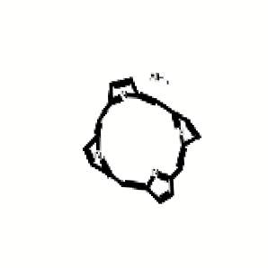 C1=CC2=NC1=CC1=NC(=CC3=NC(=CC4=NC(=C2)C=C4)C=C3)C=C1.[AlH3]